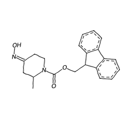 CC1C/C(=N/O)CCN1C(=O)OCC1c2ccccc2-c2ccccc21